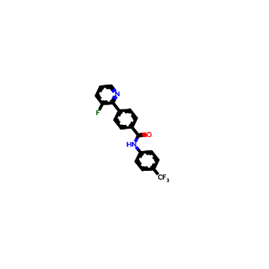 O=C(Nc1ccc(C(F)(F)F)cc1)c1ccc(-c2ncccc2F)cc1